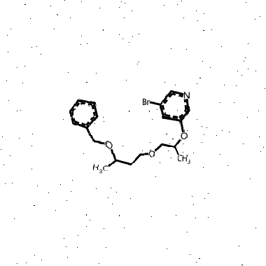 CC(CCOCC(C)Oc1cncc(Br)c1)OCc1ccccc1